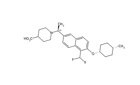 C[C@@H](c1ccc2c(C(F)F)c(O[C@H]3CC[C@@H](C)CC3)ccc2c1)N1CCC(C(=O)O)CC1